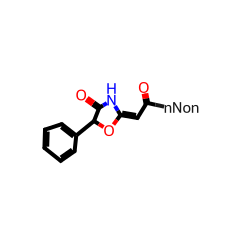 CCCCCCCCCC(=O)/C=C1\NC(=O)C(c2ccccc2)O1